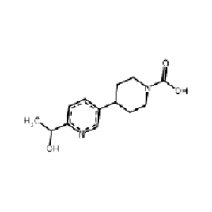 CC(O)c1ccc(C2CCN(C(=O)O)CC2)cn1